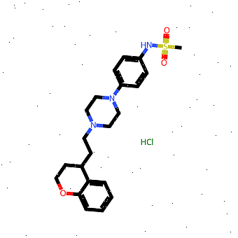 CS(=O)(=O)Nc1ccc(N2CCN(CCC3CCOc4ccccc43)CC2)cc1.Cl